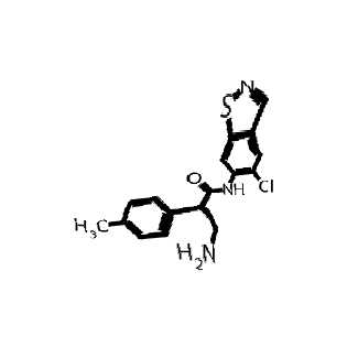 Cc1ccc(C(CN)C(=O)Nc2cc3sncc3cc2Cl)cc1